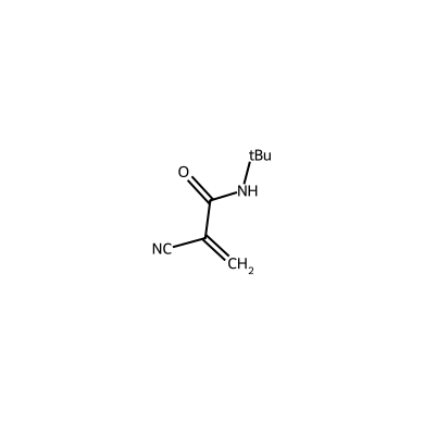 C=C(C#N)C(=O)NC(C)(C)C